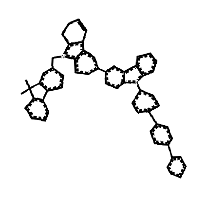 CC1(C)c2ccccc2-c2ccc(Cn3c4c(c5cc(-c6ccc7c(c6)c6ccccc6n7-c6ccc(-c7ccc(-c8ccccc8)cc7)cc6)ccc53)C=CCC4)cc21